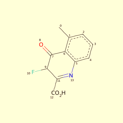 Cc1cccc2c1C(=O)C(F)C(C(=O)O)=N2